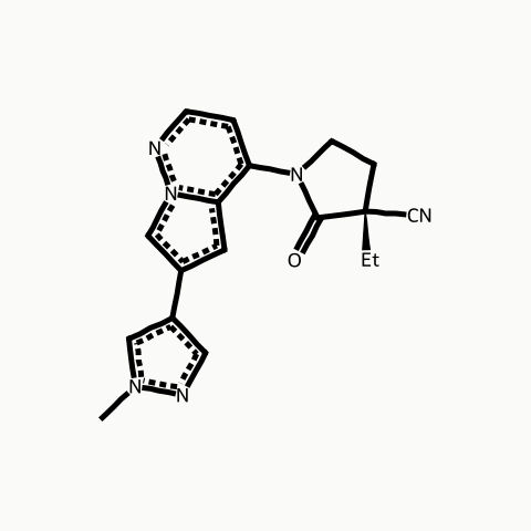 CC[C@]1(C#N)CCN(c2ccnn3cc(-c4cnn(C)c4)cc23)C1=O